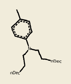 CCCCCCCCCCCCN(CCCCCCCCCCCC)c1ccc(C)cc1